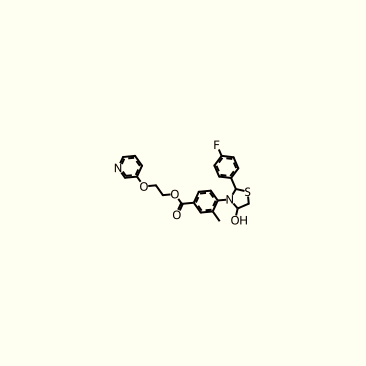 Cc1cc(C(=O)OCCOc2cccnc2)ccc1N1C(O)CSC1c1ccc(F)cc1